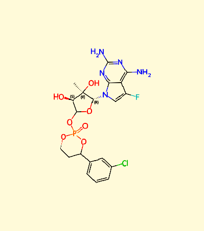 C[C@@]1(O)[C@H](O)C(OP2(=O)OCCC(c3cccc(Cl)c3)O2)O[C@H]1n1cc(F)c2c(N)nc(N)nc21